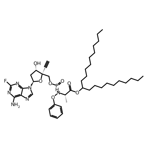 C#C[C@]1(CO[PH](=O)N(Oc2ccccc2)[C@@H](C)C(=O)OC(CCCCCCCCCC)CCCCCCCCCC)O[C@@H](n2cnc3c(N)nc(F)nc32)C[C@@H]1O